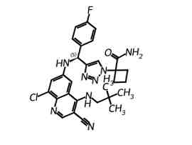 CC(C)(C)CNc1c(C#N)cnc2c(Cl)cc(N[C@@H](c3ccc(F)cc3)c3cn(C4(C(N)=O)CCC4)nn3)cc12